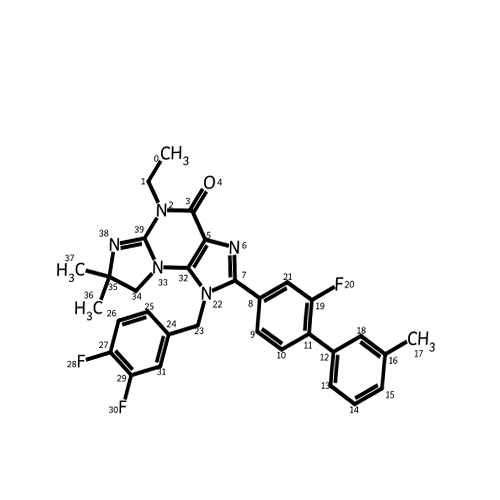 CCN1C(=O)c2nc(-c3ccc(-c4cccc(C)c4)c(F)c3)n(Cc3ccc(F)c(F)c3)c2N2CC(C)(C)N=C12